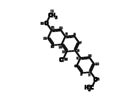 COc1ccc(-c2ccc3cc(OC)ccc3c2Cl)cc1